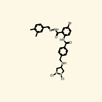 CCN1CC(NCc2ccc(C(=O)Nc3ccc(Br)cc3C(=O)N/N=C/c3ccc(C)c(C)c3)cc2)CN1CC